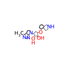 Cc1ncnc2c1ccn2C1CC(Oc2cccc3c2CCNC3)[C@@H](O)[C@H]1O